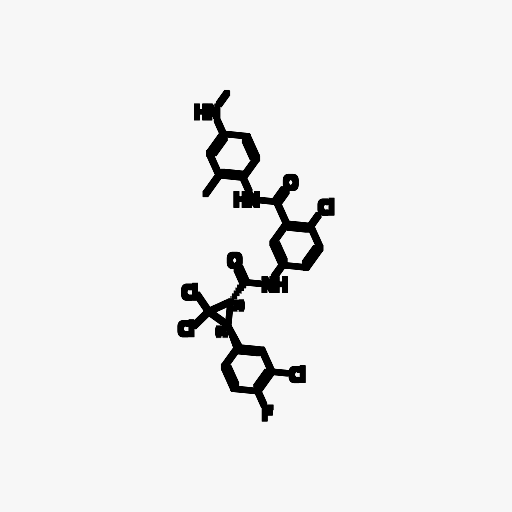 CNc1ccc(NC(=O)c2cc(NC(=O)[C@@H]3[C@@H](c4ccc(F)c(Cl)c4)C3(Cl)Cl)ccc2Cl)c(C)c1